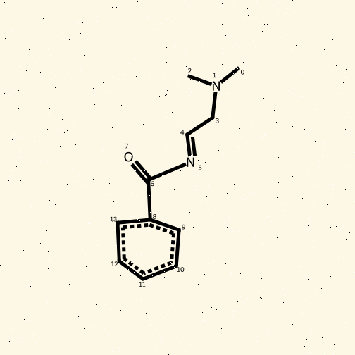 CN(C)CC=NC(=O)c1ccccc1